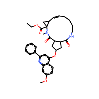 CCOC(=O)C12CC1C=CCCCCNC(=O)C1CC(Oc3cc(-c4ccccc4)nc4cc(OC)ccc34)CC1C(=O)N2C